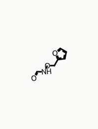 O=CNOCc1ccco1